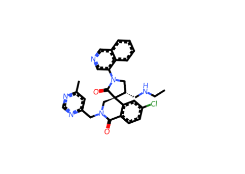 CCNC[C@H]1CN(c2cncc3ccccc23)C(=O)[C@]12CN(Cc1cc(C)ncn1)C(=O)c1ccc(Cl)cc12